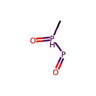 C[PH](=O)P=O